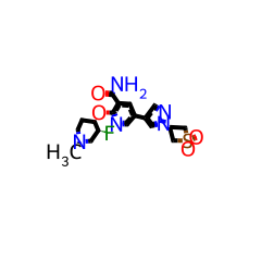 CN1CC[C@H](Oc2ncc(-c3cnn(C4CS(=O)(=O)C4)c3)cc2C(N)=O)[C@H](F)C1